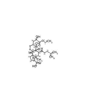 CCOC1C[C@@]2(C)C(CC[C@@H]3[C@H]2C(NCCC(C)C)C[C@]2(C)C(C(=O)O)CC[C@@H]32)CC1O